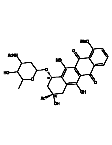 COc1cccc2c1C(=O)c1c(O)c3c(c(O)c1C2=O)C[C@@](O)(C(C)=O)C[C@@H]3OC1CC(NC(C)=O)C(O)C(C)O1